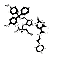 COc1ccc(C(OC[C@H]2O[C@@H](n3cc(C(=O)NCCN4CCOCC4)c(=O)[nH]c3=O)C[C@@H]2OP(=O)(CCC#N)N(C(C)C)C(C)C)(c2ccccc2)c2ccc(OC)cc2)cc1